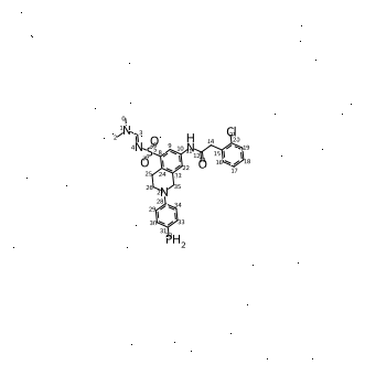 CN(C)/C=N/S(=O)(=O)c1cc(NC(=O)Cc2ccccc2Cl)cc2c1CCN(c1ccc(P)cc1)C2